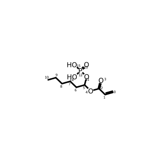 C=CC(=O)OC(CCCCC)OP(=O)(O)O